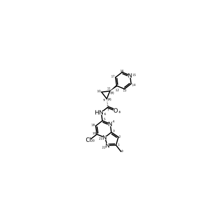 Cc1cc2nc(NC(=O)[C@@H]3C[C@H]3c3ccncc3)cc(Cl)n2n1